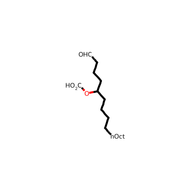 CCCCCCCCCCCCC(CCCC=O)OC(=O)O